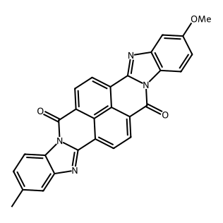 COc1ccc2c(c1)nc1c3ccc4c(=O)n5c6ccc(C)cc6nc5c5ccc(c(=O)n21)c3c45